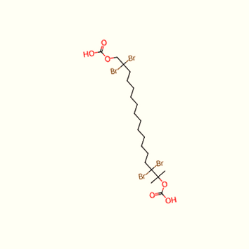 CC(C)(OC(=O)O)C(Br)(Br)CCCCCCCCCCCCC(Br)(Br)COC(=O)O